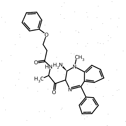 CC(NC(=O)CCOc1ccccc1)C(=O)C1N=C(c2ccccc2)c2ccccc2N(C)[C@@H]1N